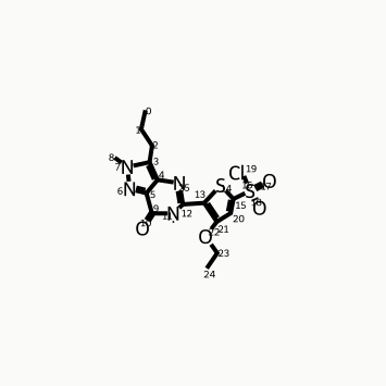 CCCc1c2c(nn1C)C(=O)[N]C(c1sc(S(=O)(=O)Cl)cc1OCC)=N2